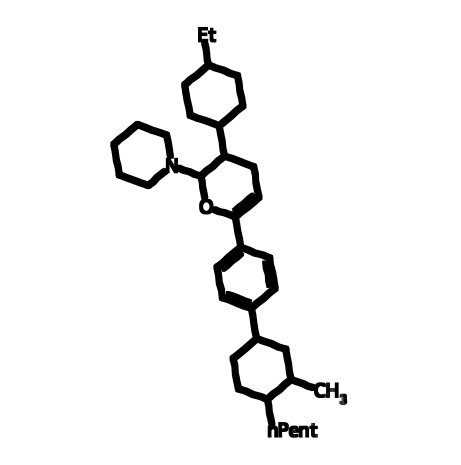 CCCCCC1CCC(c2ccc(C3=CCC(C4CCC(CC)CC4)C(N4CCCCC4)O3)cc2)CC1C